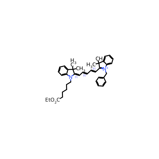 CCOC(=O)CCCCCN1/C(=C/C=C/C=C/C2=[N+](Cc3ccccc3)c3ccccc3C2(C)C)C(C)(C)c2ccccc21